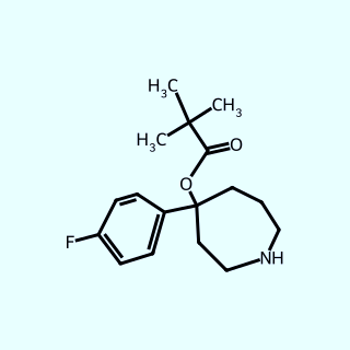 CC(C)(C)C(=O)OC1(c2ccc(F)cc2)CCCNCC1